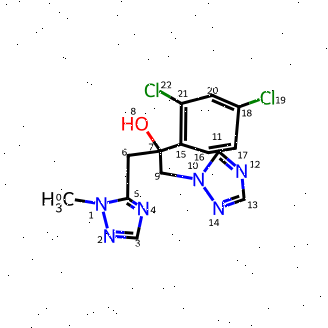 Cn1ncnc1CC(O)(Cn1cncn1)c1ccc(Cl)cc1Cl